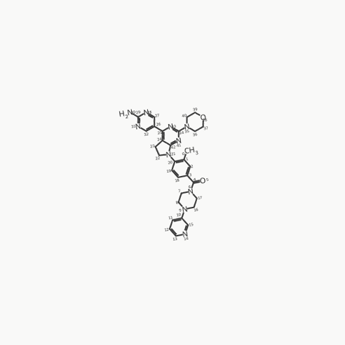 Cc1cc(C(=O)N2CCN(c3cccnc3)CC2)ccc1N1CCc2c(-c3cnc(N)nc3)nc(N3CCOCC3)nc21